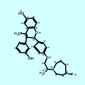 CC1=C(c2cccc(O)c2)C(c2ccc(OC[C@H](C)N3CCC[C@@H](F)CC3)cc2)Oc2ccc(O)cc21